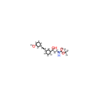 COc1cccc(C#Cc2cccc(C(O)CCNC(=O)OC(C)(C)C)c2)c1